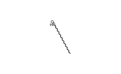 CCCCCCCCCCCCCCCCCCCNC=O